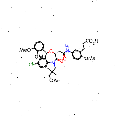 COc1ccc(NC(=O)C[C@H]2O[C@H](c3cccc(OC)c3OC)c3cc(Cl)ccc3N(CC(C)(C)COC(C)=O)C2=O)cc1CCC(=O)O